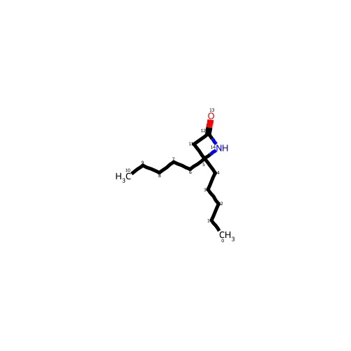 CCCCCC1(CCCCC)CC(=O)N1